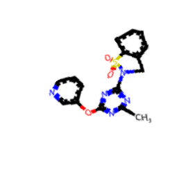 Cc1nc(Oc2cccnc2)nc(N2Cc3ccccc3S2(=O)=O)n1